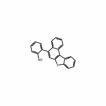 O=Nc1ccccc1-c1cc2sc3ccccc3c2c2ccccc12